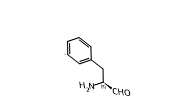 N[C@H](C=O)Cc1c[c]ccc1